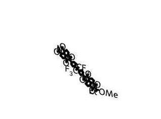 CCC(COC)N1C(=O)c2ccc3c4c(ccc(c24)C1=O)C(=O)N(c1ccc(C(c2ccc(N4C(=O)c5ccc6c7c(ccc(c57)C4=O)C(=O)N(C)C6=O)cc2)(C(F)(F)F)C(F)(F)F)cc1)C3=O